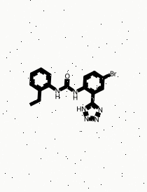 CCc1ccccc1NC(=O)Nc1ccc(Br)cc1-c1nnn[nH]1